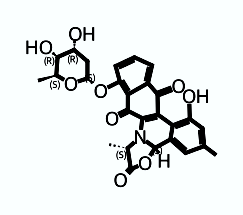 Cc1cc(O)c2c(c1)[C@@H]1OC(=O)[C@H](C)N1C1=C2C(=O)c2cccc(O[C@H]3C[C@@H](O)[C@@H](O)[C@H](C)O3)c2C1=O